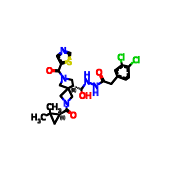 CC1(C)C[C@@H]1C(=O)N1CC2(CN(C(=O)c3cncs3)C[C@@H]2C(O)NNC(=O)Cc2ccc(Cl)c(Cl)c2)C1